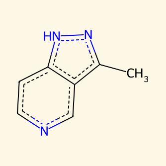 Cc1n[nH]c2ccncc12